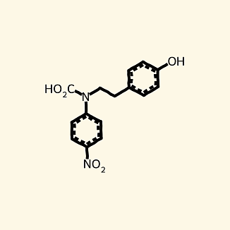 O=C(O)N(CCc1ccc(O)cc1)c1ccc([N+](=O)[O-])cc1